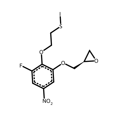 O=[N+]([O-])c1cc(F)c(OCCSI)c(OC[C@H]2CO2)c1